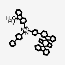 CC1(C)c2ccccc2-c2ccc(-c3nc(-c4ccc(-c5ccccc5)cc4)nc(-c4ccc(-c5ccc6c(c5)C5(c7ccccc7-6)c6ccccc6C6(c7ccccc7-c7ccccc76)c6ccccc65)cc4)n3)cc21